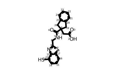 O=C(O)CC1(C(=O)NCc2nc3c(S)cccc3s2)Cc2ccccc2C1